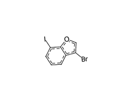 Brc1coc2c(I)cccc12